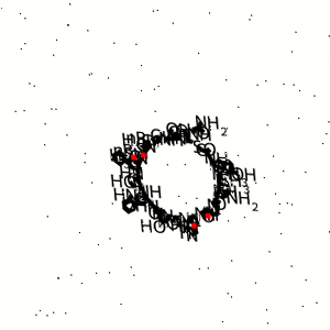 CCCC[C@H]1C(=O)N(C)[C@@H](CCCC)C(=O)N[C@@H](CO)C(=O)NC(C(=O)NCC(N)=O)CSCC(=O)N[C@@H](Cc2ccc(O)cc2)C(=O)N(C)[C@@H](C)C(=O)N[C@@H](CC(N)=O)C(=O)N2CCC[C@H]2C(=O)N[C@@H](Cc2cnc[nH]2)C(=O)N[C@@H](CC(C)C)C(=O)N2C[C@H](O)C[C@H]2C(=O)N[C@@H](Cc2c[nH]c3ccccc23)C(=O)N[C@@H](CO)C(=O)N[C@@H](Cc2csc3ccccc23)C(=O)N1C